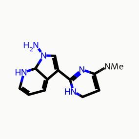 CNC1=CCNC(C2=CN(N)C3NC=CC=C23)=N1